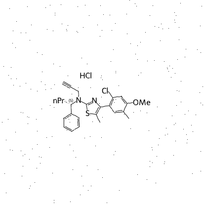 C#CCN(c1nc(-c2cc(C)c(OC)cc2Cl)c(C)s1)[C@@H](CCC)c1ccccc1.Cl